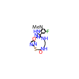 CNc1cc(F)cc2c1[nH]c1nc3nc(c12)NCCCCNC(=O)CSc1ncc(cn1)O3